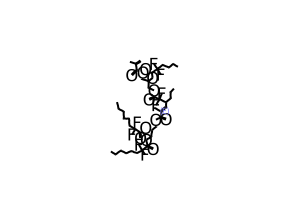 C=C(C)C(=O)OCC(COC(=O)C(F)(F)C(/C=C(\C)C(=O)OCC(COC(=O)C(F)(F)CCCCCC)OC(=O)C(F)(F)CCCCCC)CCC)OC(=O)C(F)(F)CCCC